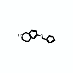 c1ccc(COc2ccc3c(c2)CCCNC3)cc1